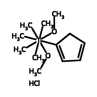 C[O][Ti]([CH3])([CH3])([CH3])([CH3])([CH3])([O]C)[C]1=CC=CC1.Cl